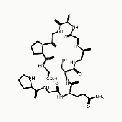 C=C(CNC(=O)[C@H](CC(C)C)NC(=C)C(CCC(N)=O)NC(=O)CNC(=C)C1CCCN1)NCC(=O)NC(C)C(=C)NCC(=C)N1CCCC1C(=C)NCC(=O)O